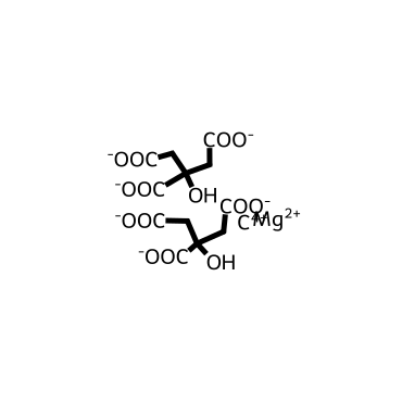 O=C([O-])CC(O)(CC(=O)[O-])C(=O)[O-].O=C([O-])CC(O)(CC(=O)[O-])C(=O)[O-].[C+4].[Mg+2]